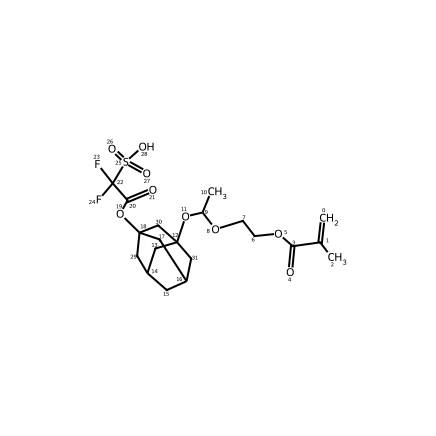 C=C(C)C(=O)OCCOC(C)OC12CC3CC(CC(OC(=O)C(F)(F)S(=O)(=O)O)(C3)C1)C2